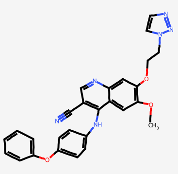 COc1cc2c(Nc3ccc(Oc4ccccc4)cc3)c(C#N)cnc2cc1OCCn1ccnn1